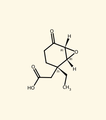 CC[C@@]1(CC(=O)O)CCC(=O)[C@@H]2O[C@@H]21